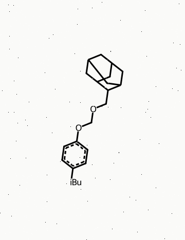 CCC(C)c1ccc(OCOCC2C3CC4CC(C3)CC2C4)cc1